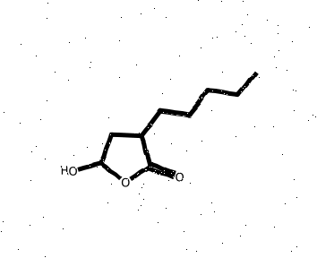 CCCCCC1CC(O)OC1=O